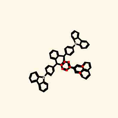 c1ccc2c(c1)C1(c3ccc(-n4c5ccccc5c5ccccc54)cc3)c3ccc(-c4ccc5ccccc5c4)cc3C2(c2ccc(-n3c4ccccc4c4ccccc43)cc2)c2cc(-c3ccc4ccccc4c3)ccc21